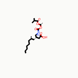 CCCCCC[C@@H](C)C[C@H](CNC(=O)O[C@@H](C)OC(=O)C(C)C)CC(=O)O